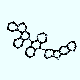 c1ccc2cc3c(cc2c1)sc1ccc(-c2c4ccccc4c(-c4cc5ccc6ccccc6c5c5ccccc45)c4ccccc24)cc13